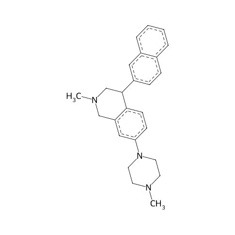 CN1CCN(c2ccc3c(c2)CN(C)CC3c2ccc3ccccc3c2)CC1